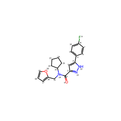 O=C(c1cc(-c2ccc(F)cc2)[nH]n1)N(Cc1ccco1)C1CCCC1